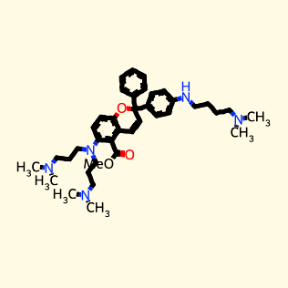 COC(=O)c1c(N(CCCN(C)C)CCCN(C)C)ccc2c1C=CC(c1ccccc1)(c1ccc(NCCCCN(C)C)cc1)O2